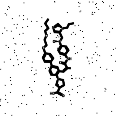 CCCCOCCOc1ccc(-c2ccc(N3CCC(C(=O)O)C3)c(C=C(C)C(=O)Nc3ccc([S@@+]([O-])Cc4cncn4CCC)cc3)c2)cc1